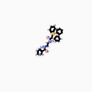 O=C(CC[PH](c1ccccc1)(c1ccccc1)c1ccccc1)NCCNC(=O)c1cccnc1